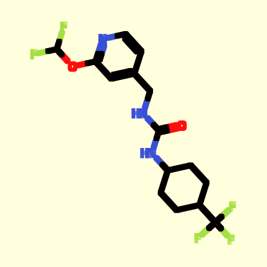 O=C(NCc1ccnc(OC(F)F)c1)NC1CCC(C(F)(F)F)CC1